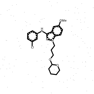 COc1ccc2c(c1)c(Nc1cccc(Cl)c1)nn2CCCOC1CCCCO1